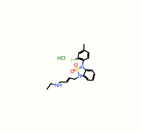 CCNCC=CCN1c2ccccc2N(c2ccc(C)cc2F)S1(=O)=O.Cl